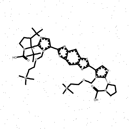 CC(C)(C)C1CCN(C(=O)O)[C@]1(c1ncc(-c2nc3cc4sc(-c5cnc([C@@H]6CCCN6C(=O)O)n5COCC[Si](C)(C)C)nc4cc3s2)n1COCC[Si](C)(C)C)C(C)(C)C